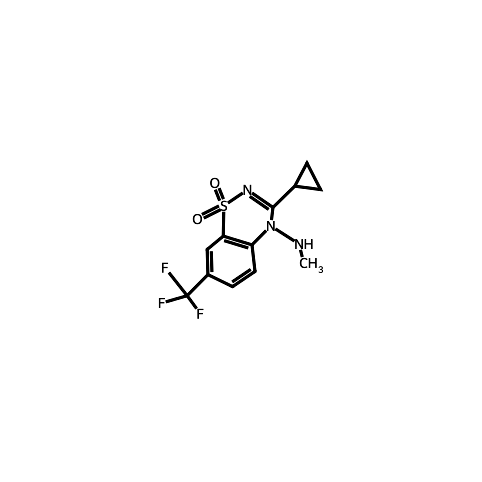 CNN1C(C2CC2)=NS(=O)(=O)c2cc(C(F)(F)F)ccc21